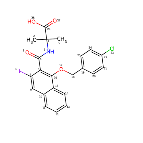 CC(C)(NC(=O)c1c(I)cc2ccccc2c1OCc1ccc(Cl)cc1)C(=O)O